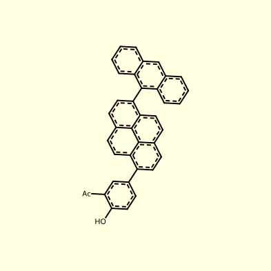 CC(=O)c1cc(-c2ccc3ccc4c(-c5c6ccccc6cc6ccccc56)ccc5ccc2c3c54)ccc1O